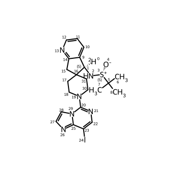 [2H][C@@]1(N[S@+]([O-])C(C)(C)C)c2cccnc2CC12CCN(c1ncc(I)c3nccn13)CC2